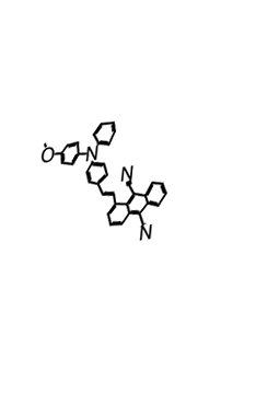 COc1ccc(N(c2ccccc2)c2ccc(C=Cc3cccc4c(C#N)c5ccccc5c(C#N)c34)cc2)cc1